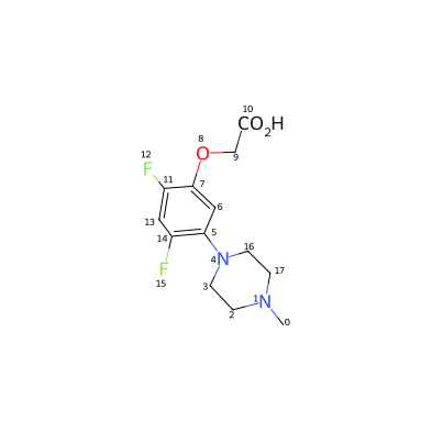 CN1CCN(c2cc(OCC(=O)O)c(F)cc2F)CC1